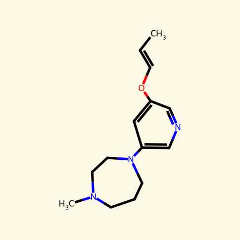 CC=COc1cncc(N2CCCN(C)CC2)c1